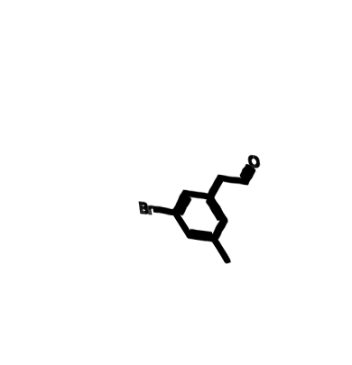 Cc1cc(Br)cc(CC=O)c1